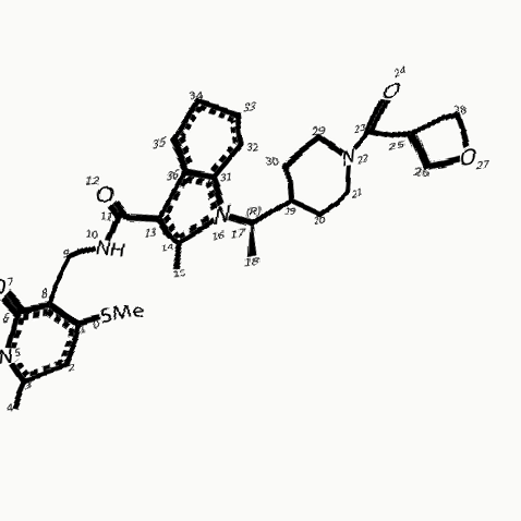 CSc1cc(C)[nH]c(=O)c1CNC(=O)c1c(C)n([C@H](C)C2CCN(C(=O)C3COC3)CC2)c2ccccc12